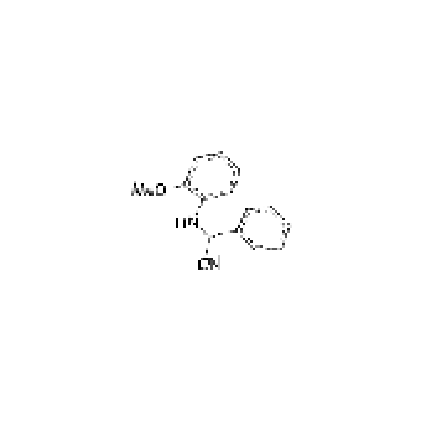 COc1ccccc1NC(C#N)c1ccccc1